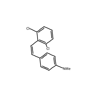 CNc1ccc(/C=C\c2c(Cl)cccc2Cl)cc1